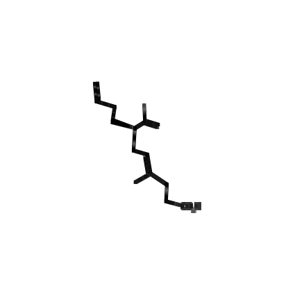 C=CCC[C@H](C/C=C(\C)CCC(=O)O)C(=C)C